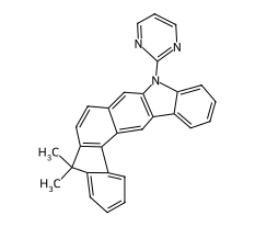 CC1(C)c2ccccc2-c2c1ccc1cc3c(cc21)c1ccccc1n3-c1ncccn1